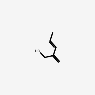 C=C(C=CC)CO